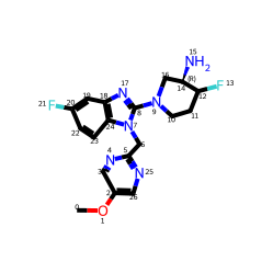 COc1cnc(Cn2c(N3CCC(F)[C@H](N)C3)nc3cc(F)ccc32)nc1